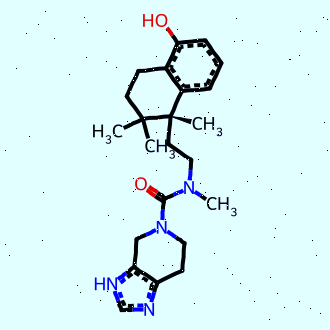 CN(CC[C@@]1(C)c2cccc(O)c2CCC1(C)C)C(=O)N1CCc2nc[nH]c2C1